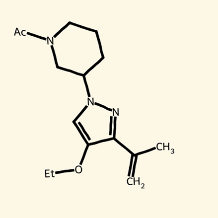 C=C(C)c1nn(C2CCCN(C(C)=O)C2)cc1OCC